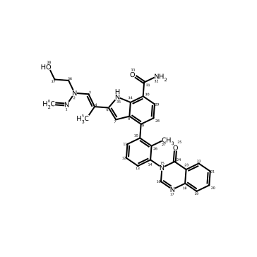 C=NN(/C=C(\C)c1cc2c(-c3cccc(-n4cnc5ccccc5c4=O)c3C)ccc(C(N)=O)c2[nH]1)CCO